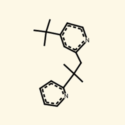 CC(C)(C)c1ccnc(CC(C)(C)c2ccccn2)c1